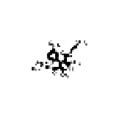 COCCOC(=O)C1=C(C)NC(C)=C(C(=O)OC[Si](C)(C)C)C1c1cccc([N+](=O)[O-])c1